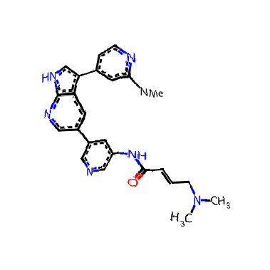 CNc1cc(-c2c[nH]c3ncc(-c4cncc(NC(=O)/C=C/CN(C)C)c4)cc23)ccn1